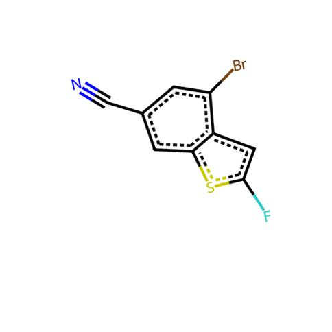 N#Cc1cc(Br)c2cc(F)sc2c1